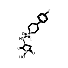 O=C1C[C@H](NS(=O)(=O)N2CCC(c3ccc(F)cc3)CC2)C(=O)N1O